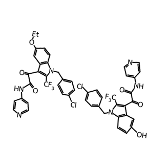 CCOc1ccc2c(c1)c(C(=O)C(=O)Nc1ccncc1)c(C(F)(F)F)n2Cc1ccc(Cl)cc1.O=C(Nc1ccncc1)C(=O)c1c(C(F)(F)F)n(Cc2ccc(Cl)cc2)c2ccc(O)cc12